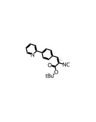 [C-]#[N+]/C(=C/c1ccc(-c2ccccn2)cc1)C(=O)OC(C)(C)C